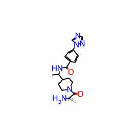 CC(NC(=O)c1ccc(-n2cncn2)cc1)C1CCN(C(=O)[C@H](C)N)CC1